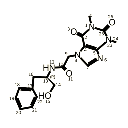 Cn1c(=O)c2c(ncn2CC(=O)N[C@@H](CO)Cc2ccccc2)n(C)c1=O